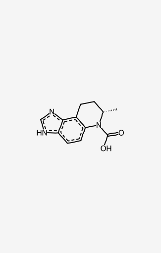 C[C@H]1CCc2c(ccc3[nH]cnc23)N1C(=O)O